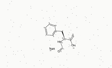 O=CN[C@@H](Cc1ccccc1)C(=O)O.[NaH]